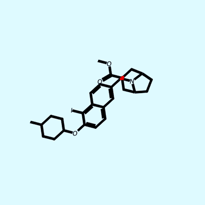 COC(=O)C1CC2CCC(C1)N2Cc1ccc2c(I)c(OC3CCC(C)CC3)ccc2c1